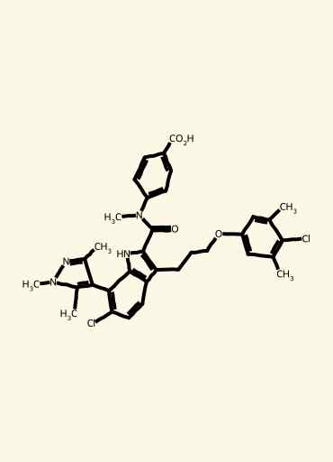 Cc1cc(OCCCc2c(C(=O)N(C)c3ccc(C(=O)O)cc3)[nH]c3c(-c4c(C)nn(C)c4C)c(Cl)ccc23)cc(C)c1Cl